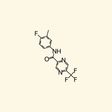 Cc1cc(NC(=O)c2cnc(C(F)(F)F)cn2)ccc1F